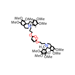 COc1ccc(CC2c3c(cc(OC)c(OC)c3OC)CC[N+]2(C)CCCOC(=O)/C=C\C(=O)OCCC[N+]2(C)CCc3cc(OC)c(OC)c(OC)c3C2c2cc(OC)c(OC)c(OC)c2)cc1OC